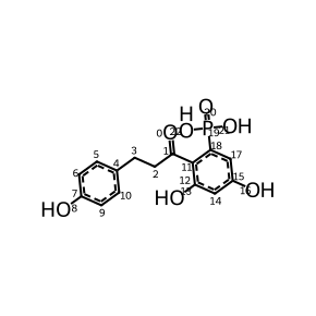 O=C(CCc1ccc(O)cc1)c1c(O)cc(O)cc1P(=O)(O)O